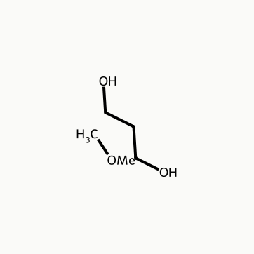 COC.OCCCO